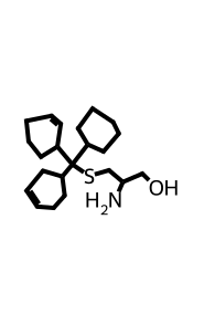 NC(CO)CSC(C1C=CCCC1)(C1CC=CCC1)C1CCCCC1